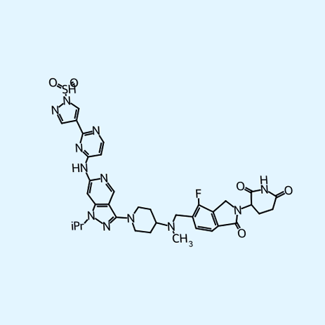 CC(C)n1nc(N2CCC(N(C)Cc3ccc4c(c3F)CN(C3CCC(=O)NC3=O)C4=O)CC2)c2cnc(Nc3ccnc(-c4cnn([SH](=O)=O)c4)n3)cc21